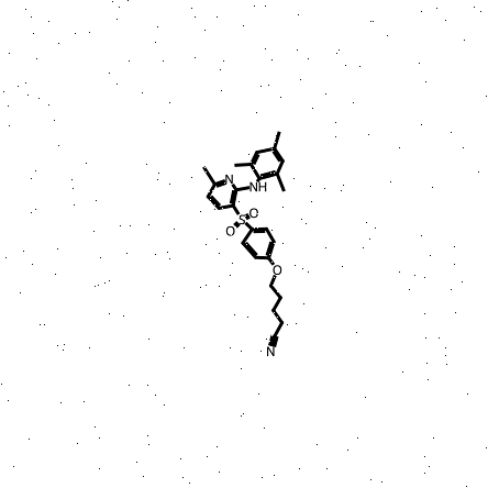 Cc1cc(C)c(Nc2nc(C)ccc2S(=O)(=O)c2ccc(OCCCCC#N)cc2)c(C)c1